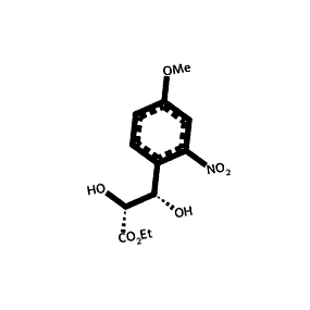 CCOC(=O)[C@H](O)[C@@H](O)c1ccc(OC)cc1[N+](=O)[O-]